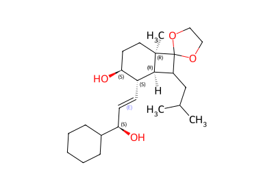 CC(C)CC1[C@H]2[C@H](/C=C/[C@@H](O)C3CCCCC3)[C@@H](O)CC[C@@]2(C)C12OCCO2